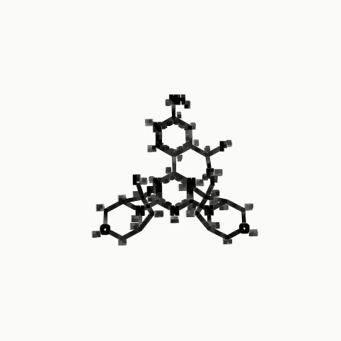 Nc1cc(C(F)F)c(-c2nc(N3C4COCC3C(F)(F)C4)nc(N3C4COCC3C(F)(F)C4)n2)cn1